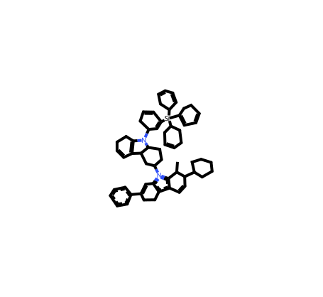 CC1c2c(c3c(n2C2CCC4C(C2)C2=C(CCC=C2)N4C2C=C([Si](C4=CC=CCC4)(C4C=CC=CC4)C4CC=CCC4)C=CC2)C=C(c2ccccc2)CC3)C=CC1C1CCCCC1